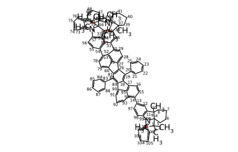 CC(C)(C)C12CCCCC1(C)c1cc(-c3ccc4c5c(-c6ccccc6)c6c7ccc(-c8ccc9c(c8)C8(C)CCCCC8(C)N9c8ccccc8)c8c(-c9ccc%10c(c9)C9(C)CCCCC9(C(C)(C)C)N%10c9ccccc9)ccc(c6c(-c6ccccc6)c5c5cccc3c54)c87)ccc1N2c1ccccc1